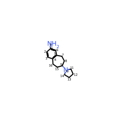 Nc1ccc2c(c1)CC[C@@H](N1CCCC1)CC2